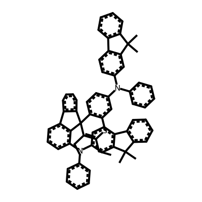 CCC1=C(CC)C2(c3ccc(N(c4ccccc4)c4ccc5c(c4)C(C)(C)c4ccccc4-5)cc3S1)c1ccccc1-c1cccc(N(c3ccccc3)c3ccc4c(c3)C(C)(C)c3ccccc3-4)c12